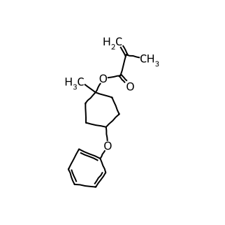 C=C(C)C(=O)OC1(C)CCC(Oc2ccccc2)CC1